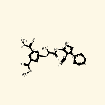 COC(=O)c1cc(SC(C)C(=O)Nc2[nH]cc(-c3ccccc3)c2C#N)cc(C(=O)OC)c1